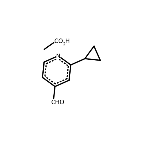 CC(=O)O.O=Cc1ccnc(C2CC2)c1